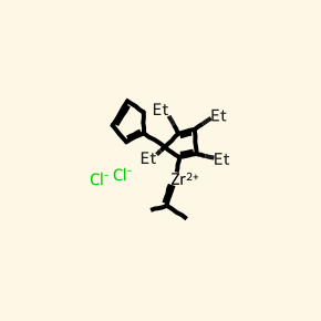 CCC1=C(CC)C(CC)(C2=CC=CC2)[C]([Zr+2]=[C](C)C)=C1CC.[Cl-].[Cl-]